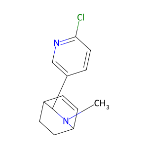 CN1C2C=CC(CC2)C1c1ccc(Cl)nc1